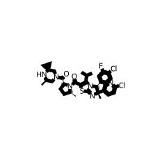 CC(C)C1=C(C(=O)N2[C@H](C)CC[C@@H]2C(=O)N2C[C@@H](C)NC3(CC3)C2)SC2=N[C@@](C)(c3ccc(Cl)nc3)[C@@H](c3ccc(Cl)c(F)c3)N21